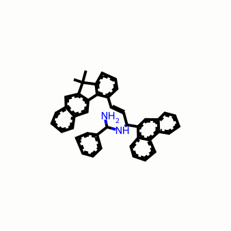 CC1(C)c2cc3ccccc3cc2-c2c(/C=C/C(NC(N)c3ccccc3)c3cc4ccccc4c4ccccc34)cccc21